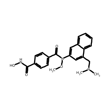 CON(C(=O)c1ccc(C(=O)NO)cc1)c1cc(CN(C)C)c2ccccc2c1